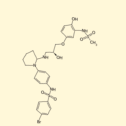 CS(=O)(=O)Nc1cc(OC[C@@H](O)CNC2CCCCN2c2ccc(NS(=O)(=O)c3ccc(Br)cc3)cc2)ccc1O